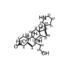 C[C@]12CCC(=O)CC1=C[C@H](CCO)[C@@H]1[C@@H]2CC[C@]2(C)C(C3CCCNC3)=CC[C@@H]12